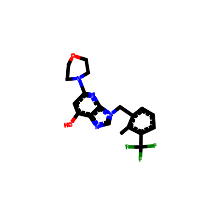 Cc1c(Cn2cnc3c(O)cc(N4CCOCC4)nc32)cccc1C(F)(F)F